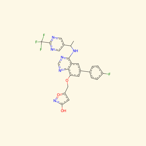 CC(Nc1ncnc2c(OCc3cc(O)no3)cc(-c3ccc(F)cc3)cc12)c1cnc(C(F)(F)F)nc1